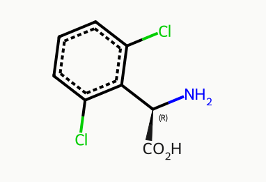 N[C@@H](C(=O)O)c1c(Cl)cccc1Cl